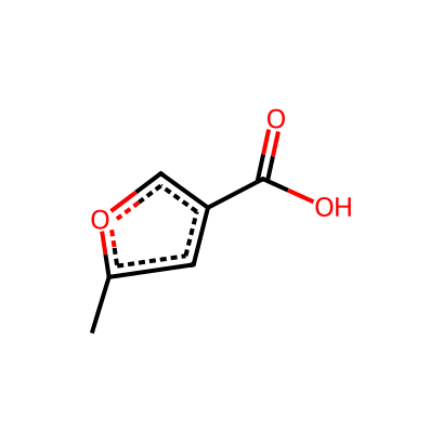 Cc1cc(C(=O)O)co1